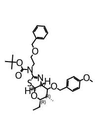 CC[C@H]1O[C@@H]2SC(N(CCOCc3ccccc3)C(=O)OC(C)(C)C)=N[C@@H]2C(OCc2ccc(OC)cc2)[C@@H]1C